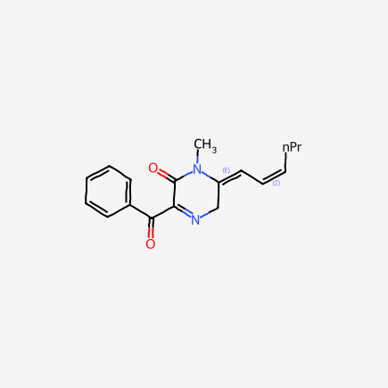 CCC/C=C\C=C1/CN=C(C(=O)c2ccccc2)C(=O)N1C